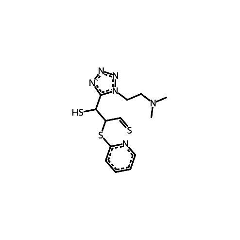 CN(C)CCn1nnnc1C(S)C(C=S)Sc1ccccn1